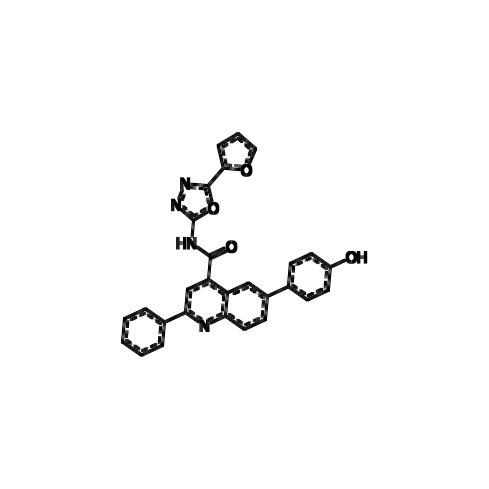 O=C(Nc1nnc(-c2ccco2)o1)c1cc(-c2ccccc2)nc2ccc(-c3ccc(O)cc3)cc12